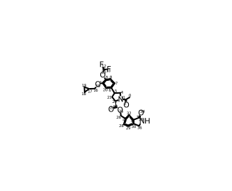 CC(=O)N1CC(c2ccc(OC(F)F)c(OCC3CC3)c2)C[C@@H]1C(=O)OCc1ccc2c(c1)C(=O)NC2